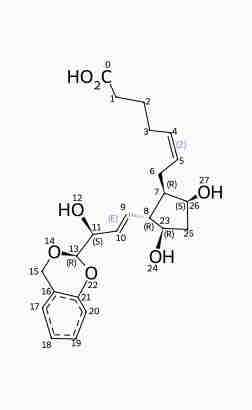 O=C(O)CCC/C=C\C[C@@H]1[C@@H](/C=C/[C@H](O)[C@@H]2OCc3ccccc3O2)[C@H](O)C[C@@H]1O